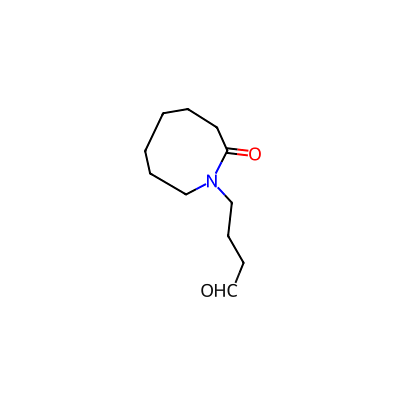 O=CCCCN1CCCCCCC1=O